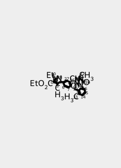 CCOC(=O)c1c(C)c(-c2ccc(OCc3c(C)cccc3-n3nnn(C)c3=O)c(C)c2)nn1CC